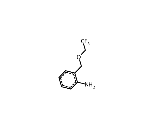 Nc1ccccc1COCC(F)(F)F